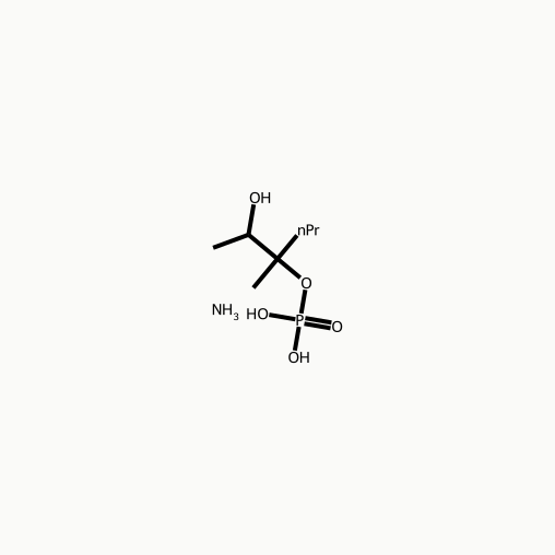 CCCC(C)(OP(=O)(O)O)C(C)O.N